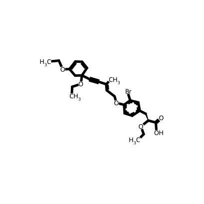 CCOC1=CC=CC(C#C/C(C)=C/COc2ccc(C[C@H](OCC)C(=O)O)cc2Br)(OCC)C1